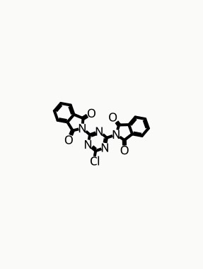 O=C1c2ccccc2C(=O)N1c1nc(Cl)nc(N2C(=O)c3ccccc3C2=O)n1